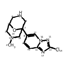 CN1CC2CNCC(c3ccc4nc(Cl)nn4c3)(C1)O2